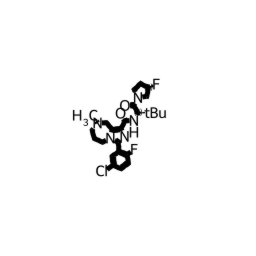 CN1CCCn2c(-c3cc(Cl)ccc3F)nc(C(=O)N[C@H](C(=O)N3CC[C@@H](F)C3)C(C)(C)C)c2C1